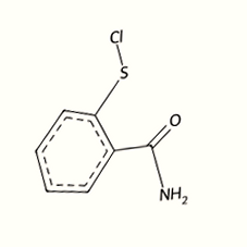 NC(=O)c1ccccc1SCl